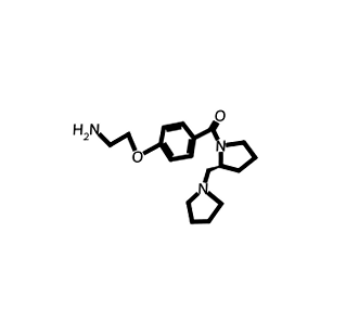 NCCOc1ccc(C(=O)N2CCC[C@H]2CN2CCCC2)cc1